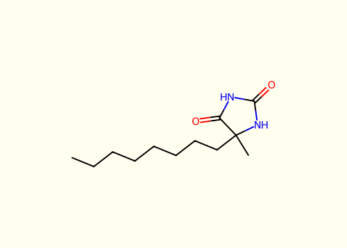 CCCCCCCCC1(C)NC(=O)NC1=O